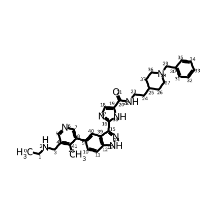 CCNCc1cncc(-c2ccc3[nH]nc(-c4ncc(C(=O)NCCC5CCN(Cc6ccccc6)CC5)[nH]4)c3c2)c1C